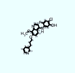 COc1c(OCCCc2cccnc2)ccc2c(Nc3cc(O)c(Cl)cc3F)ccnc12